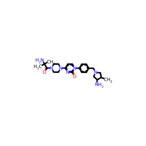 CC1CN(Cc2ccc(-n3ccc(N4CCN(C(=O)C(C)(C)N)CC4)nc3=O)cc2)CC1N